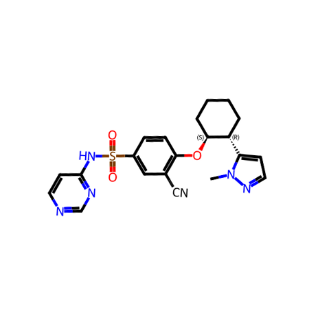 Cn1nccc1[C@H]1CCCC[C@@H]1Oc1ccc(S(=O)(=O)Nc2ccncn2)cc1C#N